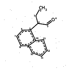 CCC(C=O)c1cccc2ccccc12